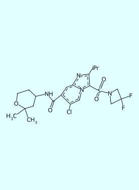 CC(C)c1nc2cc(C(=O)NC3CCOC(C)(C)C3)c(Cl)cn2c1S(=O)(=O)N1CC(F)(F)C1